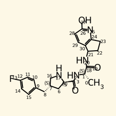 C[C@H](NC(=O)[C@H]1C[C@H](Cc2ccc(F)cc2)CN1)C(=O)NC1CCc2nc(O)ccc21